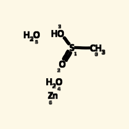 CS(=O)O.O.O.[Zn]